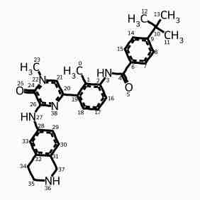 Cc1c(NC(=O)c2ccc(C(C)(C)C)cc2)cccc1-c1cn(C)c(=O)c(Nc2ccc3c(c2)CCNC3)n1